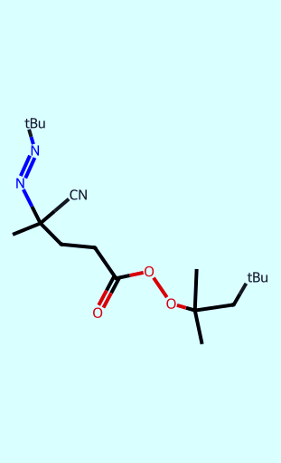 CC(C)(C)CC(C)(C)OOC(=O)CCC(C)(C#N)N=NC(C)(C)C